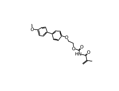 C=C(C)C(=O)NC(=O)OCCOc1ccc(-c2ccc(OC)cc2)cc1